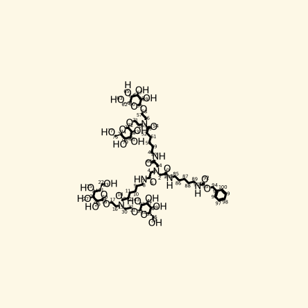 O=C(CN(CC(=O)NCCCCCC(=O)N(CCO[C@H]1O[C@H](CO)[C@@H](O)[C@H](O)[C@@H]1O)CCO[C@H]1O[C@H](CO)[C@@H](O)[C@H](O)[C@@H]1O)CC(=O)NCCCCCC(=O)N(CCO[C@H]1O[C@H](CO)[C@@H](O)[C@H](O)[C@@H]1O)CCO[C@H]1O[C@H](CO)[C@@H](O)[C@H](O)[C@@H]1O)NCCCCCNC(=O)OCc1ccccc1